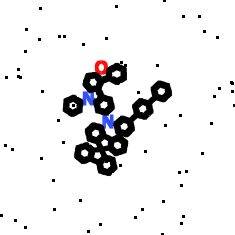 c1ccc(-c2ccc(-c3cccc(N(c4ccc5c6c7c(ccc6n(-c6ccccc6)c5c4)oc4ccccc47)c4cccc5c4-c4ccccc4C54c5ccccc5-c5ccccc54)c3)cc2)cc1